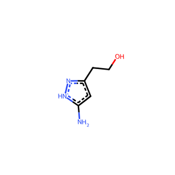 Nc1cc(CCO)n[nH]1